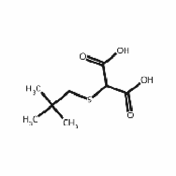 CC(C)(C)CSC(C(=O)O)C(=O)O